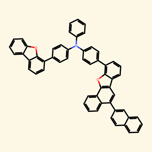 c1ccc(N(c2ccc(-c3cccc4c3oc3ccccc34)cc2)c2ccc(-c3cccc4c3oc3c5ccccc5c(-c5ccc6ccccc6c5)cc43)cc2)cc1